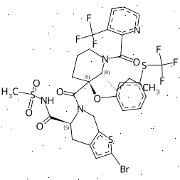 CCC[C@H]1N(C(=O)c2ncccc2C(F)(F)F)CCC[C@@]1(Oc1cccc(SC(F)(F)F)c1)C(=O)N1Cc2sc(Br)cc2C[C@H]1C(=O)NS(C)(=O)=O